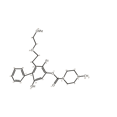 CCc1c(OC(=O)N2CCN(C)CC2)cc(O)c(-c2ccccc2)c1CCOCCOC